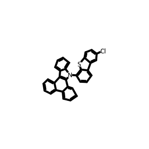 Clc1ccc2sc3c(-n4c5ccccc5c5c6ccccc6c6ccccc6c54)cccc3c2c1